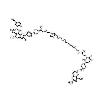 Cc1nc2cc(F)c(-c3cnc(N4CCN(C(=O)COCCn5cc(COCCOCCOCCOCCNC(=O)CC[C@H](NC(=O)C6CCC(NCc7cnc8nc(N)nc(O)c8n7)CC6)C(=O)O)nn5)CC4)nc3)nc2c(N[C@@H](C)c2cc(C#N)ccc2F)c1Cl